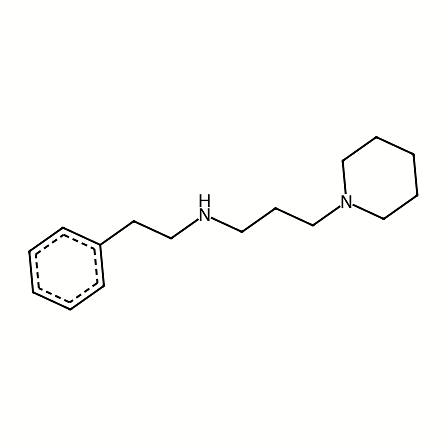 c1ccc(CCNCCCN2CCCCC2)cc1